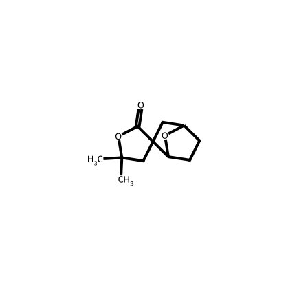 CC1(C)CC2(CC3CCC2O3)C(=O)O1